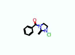 C=C1N(Cl)CCN1C(=O)c1ccccc1